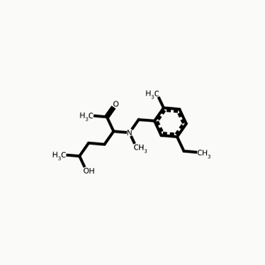 CCc1ccc(C)c(CN(C)C(CCC(C)O)C(C)=O)c1